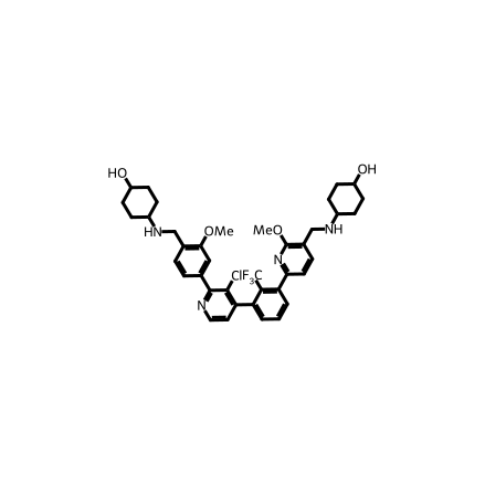 COc1cc(-c2nccc(-c3cccc(-c4ccc(CNC5CCC(O)CC5)c(OC)n4)c3C(F)(F)F)c2Cl)ccc1CNC1CCC(O)CC1